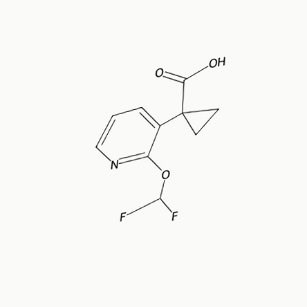 O=C(O)C1(c2cccnc2OC(F)F)CC1